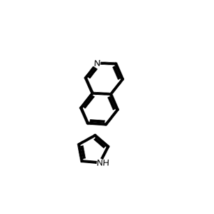 c1cc[nH]c1.c1ccc2cnccc2c1